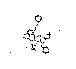 CC(C)(C)OC(=O)N[C@@H](Cc1ccccc1)C(=O)N(CC(N)=O)[C@@H](CC1CCCCC1)[C@@H](O)c1nccn1COCc1ccccc1